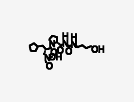 O=CN(O)C[C@@H](CC1CCCC1)C(=O)N1CCC[C@H]1C(=O)NC(=O)NCCCCO